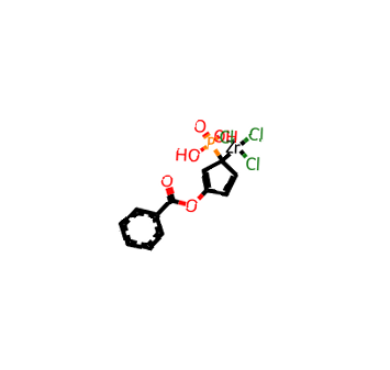 O=C(OC1=C[C](P(=O)(O)O)([Zr]([Cl])([Cl])[Cl])C=C1)c1ccccc1